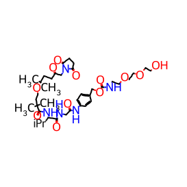 CC(C)C(NC(=O)C(C)(C)CCOC(C)(C)CCC(=O)CN1C(=O)CCC1=O)C(=O)NCC(=O)Nc1ccc(COC(=O)NCCOCCOCCO)cc1